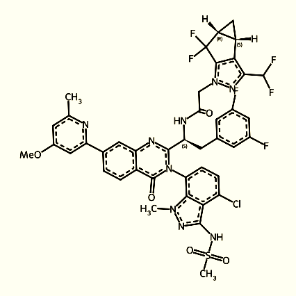 COc1cc(C)nc(-c2ccc3c(=O)n(-c4ccc(Cl)c5c(NS(C)(=O)=O)nn(C)c45)c([C@H](Cc4cc(F)cc(F)c4)NC(=O)Cn4nc(C(F)F)c5c4C(F)(F)[C@@H]4C[C@H]54)nc3c2)c1